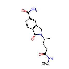 CC(CCC(=O)NC=O)N1Cc2cc(C(N)=O)ccc2C1=O